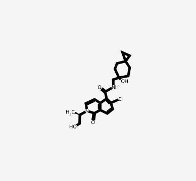 C[C@H](CO)n1ccc2c(C(=O)NCC3(O)CCC4(CC3)CC4)c(Cl)ccc2c1=O